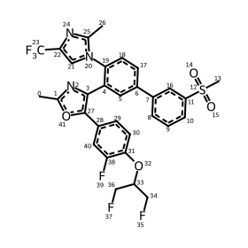 Cc1nc(-c2cc(-c3cccc(S(C)(=O)=O)c3)ccc2-n2cc(C(F)(F)F)nc2C)c(-c2ccc(OC(CF)CF)c(F)c2)o1